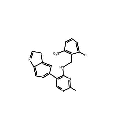 Cc1ncc(-c2ccc3ncsc3c2)c(NCc2c(Cl)cccc2[N+](=O)[O-])n1